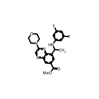 COC(=O)c1cc(C(C)Nc2cc(F)cc(F)c2)c2nc(N3CCOCC3)cnc2c1